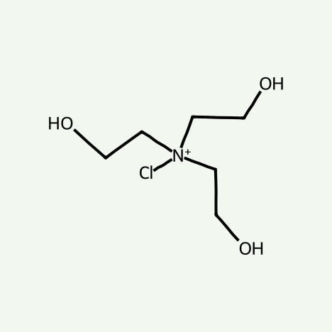 OCC[N+](Cl)(CCO)CCO